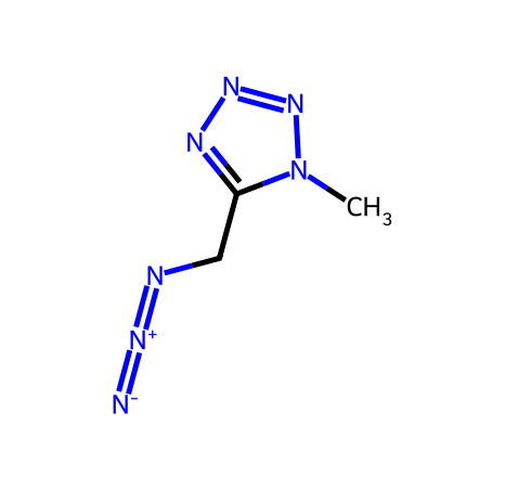 Cn1nnnc1CN=[N+]=[N-]